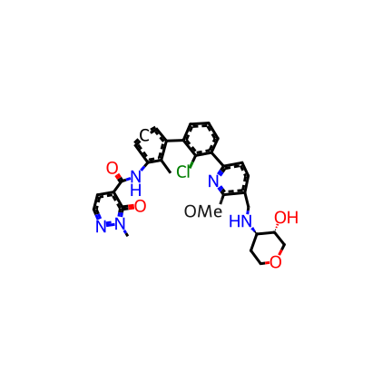 COc1nc(-c2cccc(-c3cccc(NC(=O)c4ccnn(C)c4=O)c3C)c2Cl)ccc1CN[C@@H]1CCOC[C@H]1O